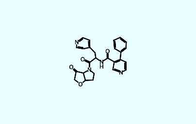 O=C(NC(Cc1ccncc1)C(=O)N1CCC2OCC(=O)C21)c1cnccc1-c1ccccc1